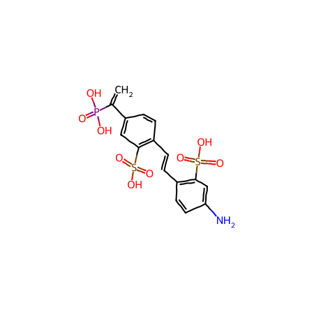 C=C(c1ccc(C=Cc2ccc(N)cc2S(=O)(=O)O)c(S(=O)(=O)O)c1)P(=O)(O)O